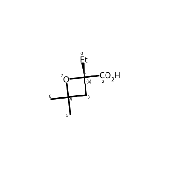 CC[C@@]1(C(=O)O)CC(C)(C)O1